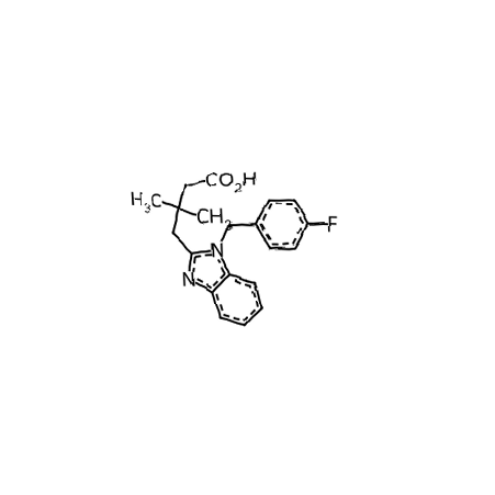 CC(C)(CC(=O)O)Cc1nc2ccccc2n1Cc1ccc(F)cc1